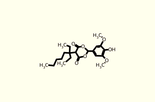 CCCCCC(CC)(CC)C1C(=O)OC(c2cc(OC)c(O)c(OC)c2)OC1=O